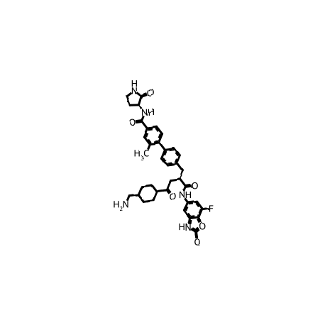 Cc1cc(C(=O)N[C@H]2CCNC2=O)ccc1-c1ccc(C[C@H](CC(=O)C2CCC(CN)CC2)C(=O)Nc2cc(F)c3oc(=O)[nH]c3c2)cc1